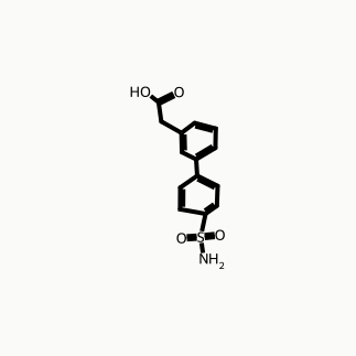 NS(=O)(=O)c1ccc(-c2cccc(CC(=O)O)c2)cc1